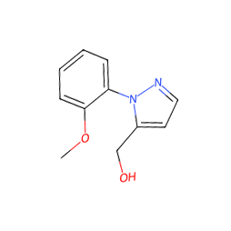 COc1ccccc1-n1nccc1CO